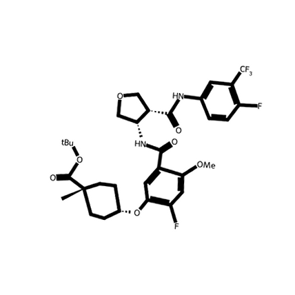 COc1cc(F)c(O[C@H]2CC[C@@](C)(C(=O)OC(C)(C)C)CC2)cc1C(=O)N[C@@H]1COC[C@@H]1C(=O)Nc1ccc(F)c(C(F)(F)F)c1